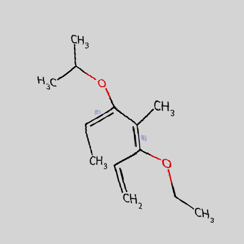 C=C/C(OCC)=C(C)\C(=C/C)OC(C)C